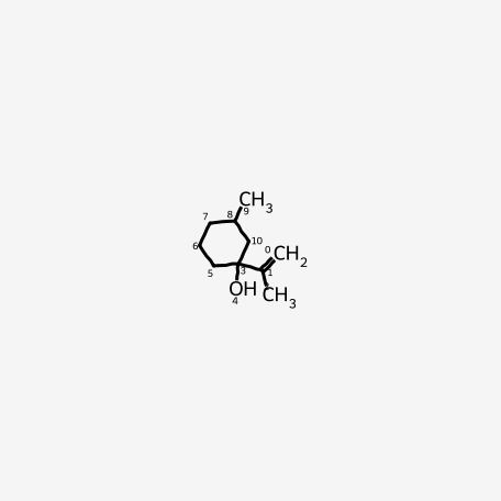 C=C(C)C1(O)CCCC(C)C1